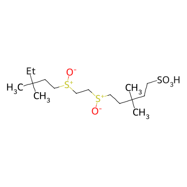 CCC(C)(C)CC[S+]([O-])CC[S+]([O-])CCC(C)(C)CCS(=O)(=O)O